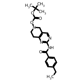 CCc1ccc(C(=O)Nc2ncc3c(n2)CCN(OC(=O)OC(C)(C)C)C3)cc1